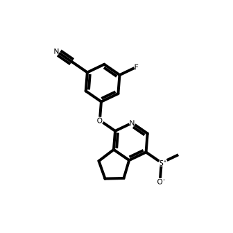 C[S+]([O-])c1cnc(Oc2cc(F)cc(C#N)c2)c2c1CCC2